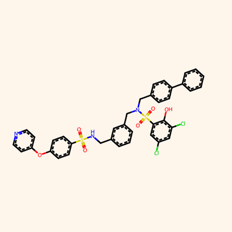 O=S(=O)(NCc1cccc(CN(Cc2ccc(-c3ccccc3)cc2)S(=O)(=O)c2cc(Cl)cc(Cl)c2O)c1)c1ccc(Oc2ccncc2)cc1